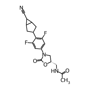 CC(=O)NC[C@H]1CN(c2cc(F)c(C3CC4C(C#N)C4C3)c(F)c2)C(=O)O1